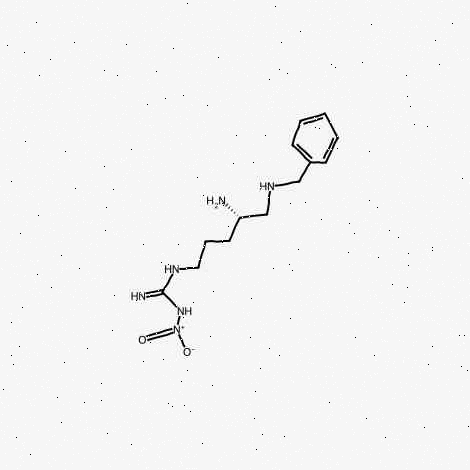 N=C(NCCC[C@H](N)CNCc1ccccc1)N[N+](=O)[O-]